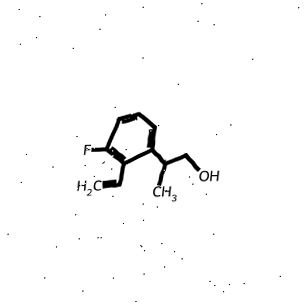 C=Cc1c(F)cccc1[C](C)CO